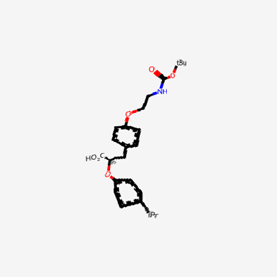 CC(C)c1ccc(O[C@H](Cc2ccc(OCCNC(=O)OC(C)(C)C)cc2)C(=O)O)cc1